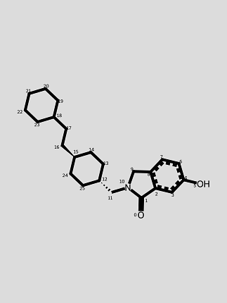 O=C1c2cc(O)ccc2CN1C[C@H]1CC[C@H](CCC2CCCCC2)CC1